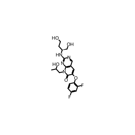 CC(O)Cn1c(=O)c(Oc2ccc(F)cc2F)cc2cnc(N[C@H](CO)CCO)nc21